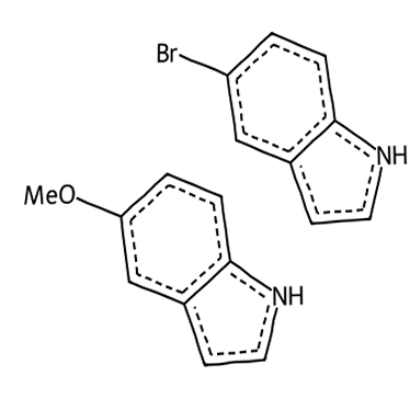 Brc1ccc2[nH]ccc2c1.COc1ccc2[nH]ccc2c1